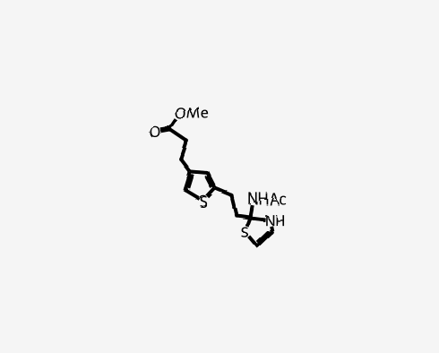 COC(=O)CCc1csc(CCC2(NC(C)=O)NC=CS2)c1